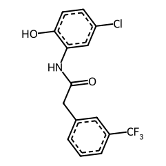 O=C(Cc1cccc(C(F)(F)F)c1)Nc1cc(Cl)ccc1O